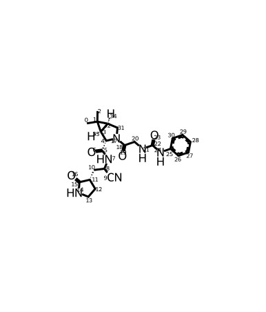 CC1(C)[C@@H]2[C@@H](C(=O)NC(C#N)C[C@@H]3CCNC3=O)N(C(=O)CNC(=O)Nc3ccccc3)C[C@@H]21